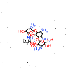 NC[C@H]1O[C@H](O[C@H]2[C@H](O)[C@@H](O[C@H]3O[C@H](CO)[C@@H](O)[C@H](N)[C@H]3O)[C@H](N)C[C@@H]2N)[C@H](N)C[C@@H]1O.O=[N+]([O-])O